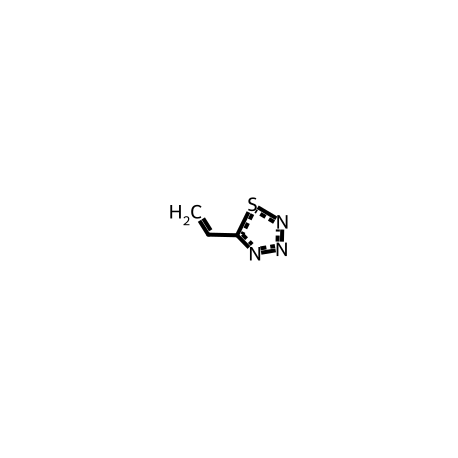 C=Cc1nnns1